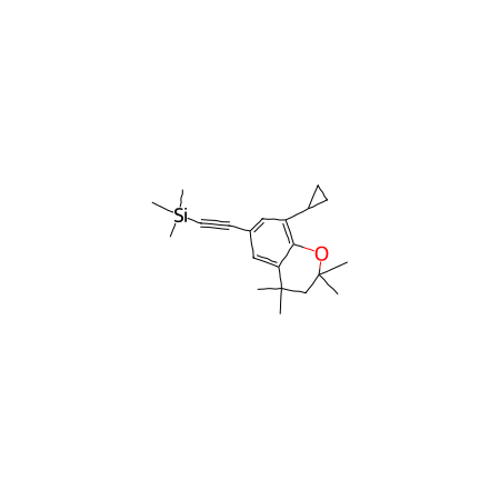 CC1(C)CC(C)(C)c2cc(C#C[Si](C)(C)C)cc(C3CC3)c2O1